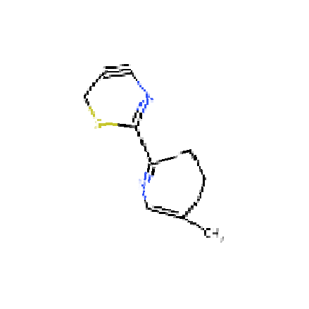 CC1=CN=C(C2=NC#CCS2)CC1